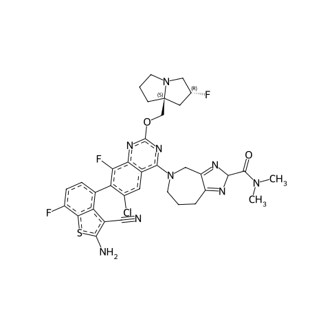 CN(C)C(=O)C1N=C2CCCN(c3nc(OC[C@@]45CCCN4C[C@H](F)C5)nc4c(F)c(-c5ccc(F)c6sc(N)c(C#N)c56)c(Cl)cc34)CC2=N1